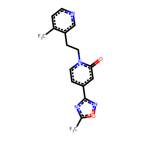 O=c1cc(-c2noc(C(F)(F)F)n2)ccn1CCc1cnccc1C(F)(F)F